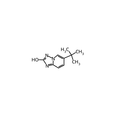 CC(C)(C)c1ccc2nc(O)nn2c1